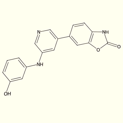 O=c1[nH]c2ccc(-c3cncc(Nc4cccc(O)c4)c3)cc2o1